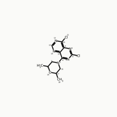 CC1CN(c2nc(Cl)nc3c(Cl)ncnc23)CC(C)O1